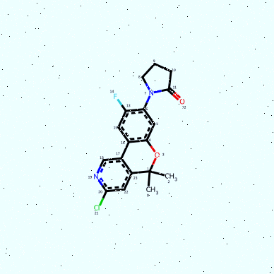 CC1(C)Oc2cc(N3CCCC3=O)c(F)cc2-c2cnc(Cl)cc21